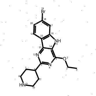 CCOc1nc(C2CCNCC2)nc2c1[nH]c1cc(Br)ccc12